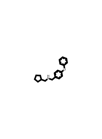 c1ccc(Oc2ccc(CNCC3CCCC3)cc2)cc1